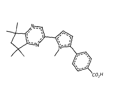 Cn1c(-c2ccc(C(=O)O)cc2)ccc1-c1cnc2c(n1)C(C)(C)CC2(C)C